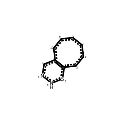 c1cccc2s[nH]ncc=2cc1